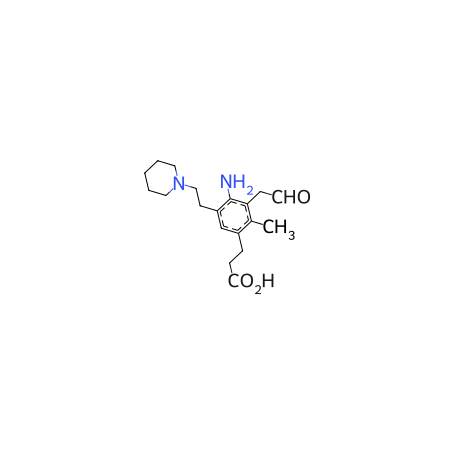 Cc1c(CCC(=O)O)cc(CCN2CCCCC2)c(N)c1CC=O